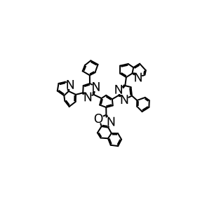 c1ccc(-c2cc(-c3cccc4cccnc34)nc(-c3cc(-c4nc(-c5ccccc5)cc(-c5cccc6cccnc56)n4)cc(-c4nc5c(ccc6ccccc65)o4)c3)n2)cc1